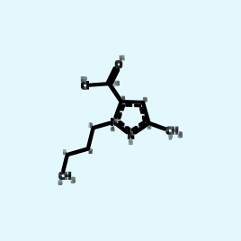 CCCCn1nc(C)cc1C(=O)Cl